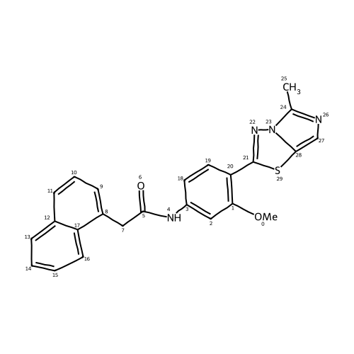 COc1cc(NC(=O)Cc2cccc3ccccc23)ccc1-c1nn2c(C)ncc2s1